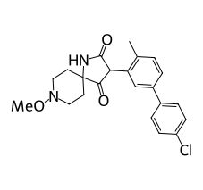 CON1CCC2(CC1)NC(=O)C(c1cc(-c3ccc(Cl)cc3)ccc1C)C2=O